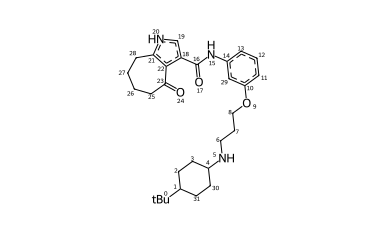 CC(C)(C)C1CCC(NCCCOc2cccc(NC(=O)c3c[nH]c4c3C(=O)CCCC4)c2)CC1